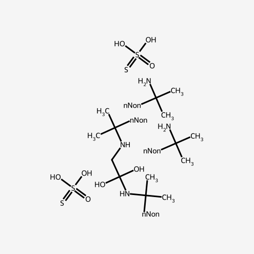 CCCCCCCCCC(C)(C)N.CCCCCCCCCC(C)(C)N.CCCCCCCCCC(C)(C)NCC(O)(O)NC(C)(C)CCCCCCCCC.O=S(O)(O)=S.O=S(O)(O)=S